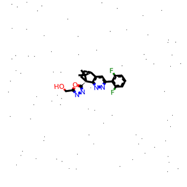 CC1(C)C2CC[C@]1(c1nnc(CO)o1)c1nnc(-c3c(F)cccc3F)cc12